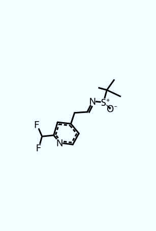 CC(C)(C)[S@@+]([O-])N=CCc1ccnc(C(F)F)c1